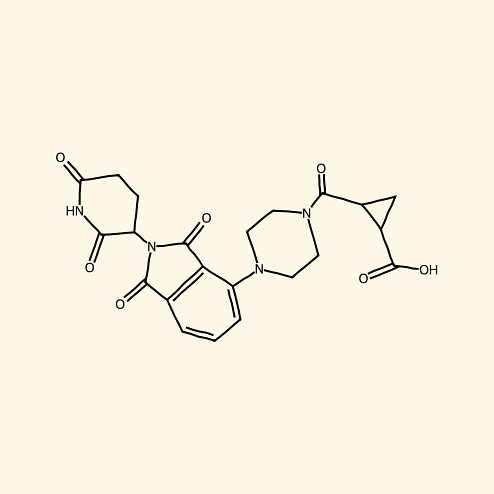 O=C1CCC(N2C(=O)c3cccc(N4CCN(C(=O)C5CC5C(=O)O)CC4)c3C2=O)C(=O)N1